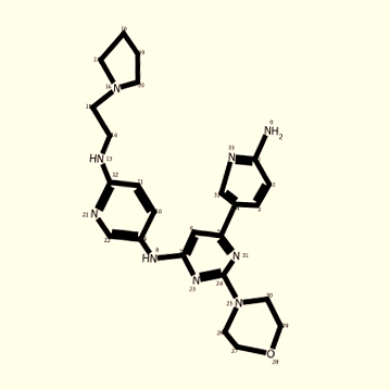 Nc1ccc(-c2cc(Nc3ccc(NCCN4CCCC4)nc3)nc(N3CCOCC3)n2)cn1